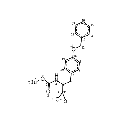 CC(C)(C)OC(=O)NC(Cc1ccc(OCc2ccccc2)cc1)[C@H]1CO1